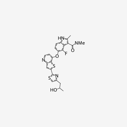 CNC(=O)c1c(C)[nH]c2ccc(Oc3ccnc4cc(-c5nc(CC(C)O)cs5)sc34)c(F)c12